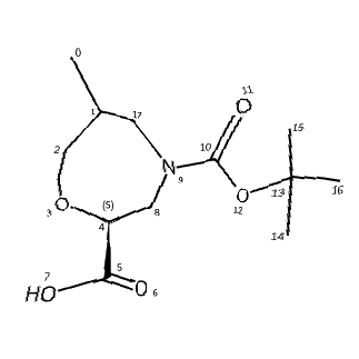 CC1CO[C@H](C(=O)O)CN(C(=O)OC(C)(C)C)C1